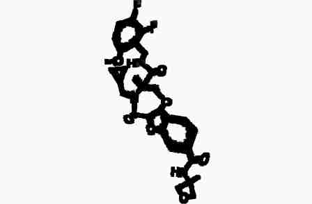 COc1ccc(F)c(F)c1CNC(=O)C1(C)COc2c(oc3cc(C(=O)NC4(C)COC4)ccc23)C(=O)N1CC1CC1